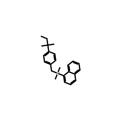 CCC(C)(C)c1ccc(C[N+](C)(C)c2cccc3ccccc23)cc1